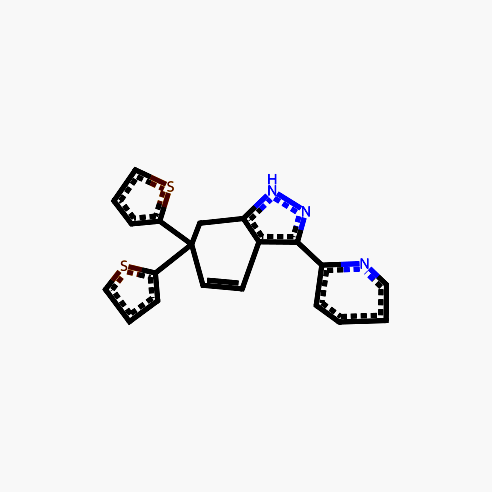 C1=CC(c2cccs2)(c2cccs2)Cc2[nH]nc(-c3ccccn3)c21